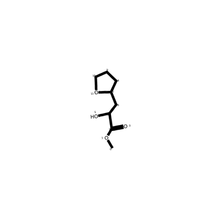 COC(=O)C(O)CC1CCCO1